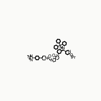 CC(C)Oc1ccc(-c2nn(C(c3ccccc3)(c3ccccc3)c3ccccc3)c3ccc(N4CC[C@]5(CCN(CC(=O)N6CC=C(c7ccc(-c8ncn(C)n8)cc7)CC6)C5)C4=O)cc23)cn1